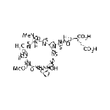 CNC(=O)C[C@@H]1NC(=O)c2csc(n2)-c2ccc(-c3nc(NC(=O)OCCC(CCCCC(=O)O)C(=O)O)cs3)nc2-c2csc(n2)-c2csc(n2)[C@H]([C@@H](O)c2ccccc2)NC(=O)CNC(=O)c2nc(sc2COC)C(C(C)C)NC(=O)c2nc1sc2C